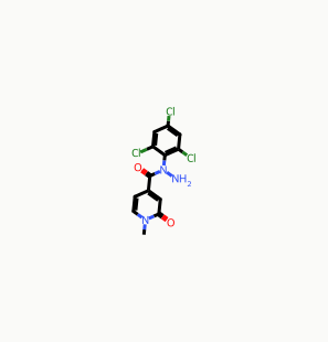 Cn1ccc(C(=O)N(N)c2c(Cl)cc(Cl)cc2Cl)cc1=O